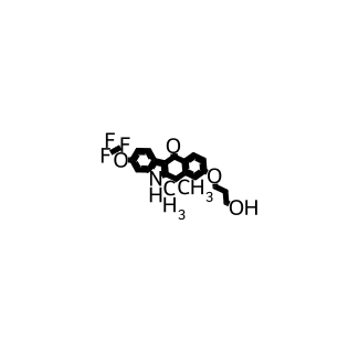 CC1(C)c2cc(OCCCO)ccc2C(=O)c2c1[nH]c1cc(OC(F)(F)F)ccc21